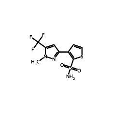 Cn1nc(-c2ccsc2S(N)(=O)=O)cc1C(F)(F)F